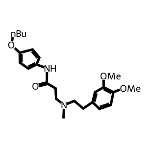 CCCCOc1ccc(NC(=O)CCN(C)CCc2ccc(OC)c(OC)c2)cc1